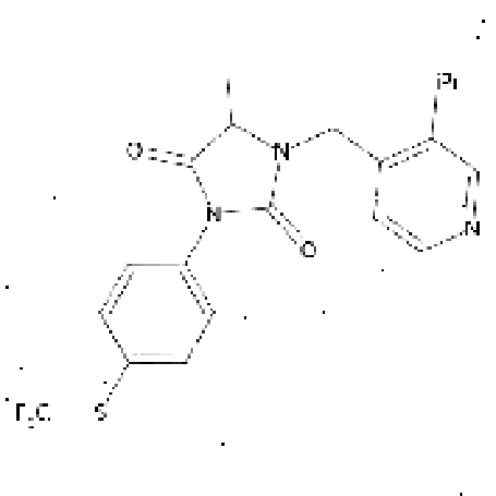 CC(C)c1cnccc1CN1C(=O)N(c2ccc(SC(F)(F)F)cc2)C(=O)C1C